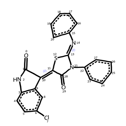 O=C1Nc2ccc(Cl)cc2/C1=C1/S/C(=N\c2ccccc2)N(c2ccccc2)C1=O